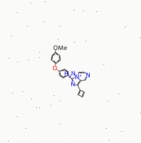 COc1ccc(Oc2ccc(C3=NC(C4=CC=C4)=C4C=NC=C[N+]34N)cc2)cc1